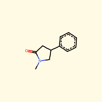 CN1[CH]C(c2ccccc2)CC1=O